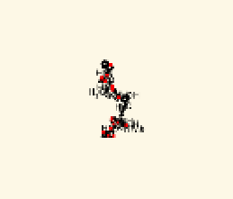 CN[C@@H](C)C(=O)N[C@@H](CCCCNC(=O)c1cc(O)cc(C(=O)NCCCC[C@H](NC(=O)[C@H](C)NC)C(=O)N2CCC[C@H]2C(=O)N[C@@H]2CCCc3ccccc32)c1)C(=O)N1CCC[C@H]1C(=O)N[C@@H]1CCCc2ccccc21